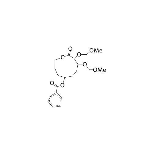 COCOC1CCC(OC(=O)c2ccccc2)CCCCC(=O)C1OCOC